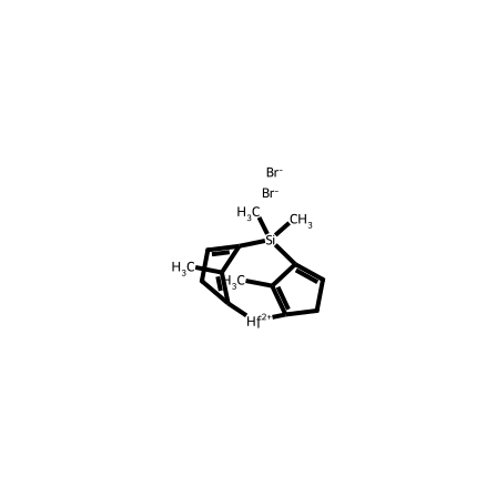 CC1=[C]2CC=C1[Si](C)(C)C1=CC[C](=C1C)[Hf+2]2.[Br-].[Br-]